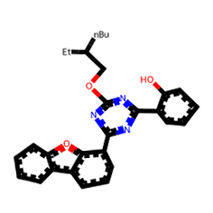 CCCCC(CC)COc1nc(-c2ccccc2O)nc(-c2cccc3c2oc2ccccc23)n1